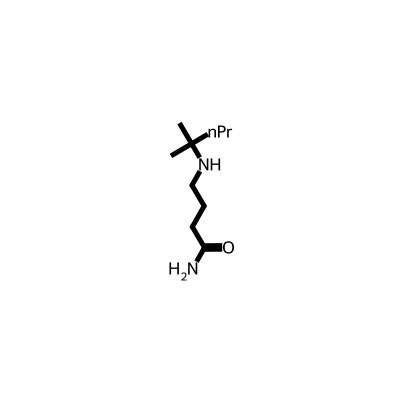 CCCC(C)(C)NCCCC(N)=O